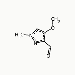 COc1cn(C)nc1C=O